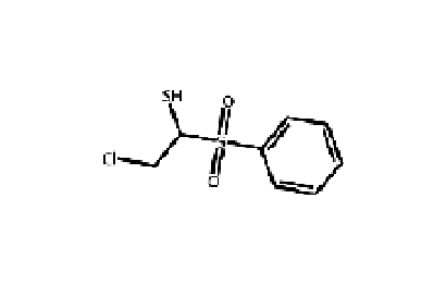 O=S(=O)(c1ccccc1)C(S)CCl